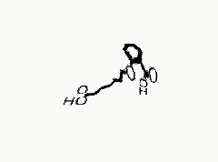 O=C(O)CCCCCCOc1ccccc1C(=O)O